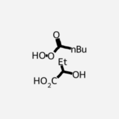 CCC(O)C(=O)O.CCCCC(=O)OO